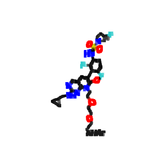 CC(=O)NCCOCCOCCn1c(=O)c(-c2c(F)ccc(NS(=O)(=O)N3CC[C@@H](F)C3)c2F)cc2cnc(NCC3CC3)nc21